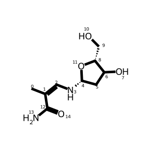 C/C(=C/N[C@H]1CC(O)[C@@H](CO)O1)C(N)=O